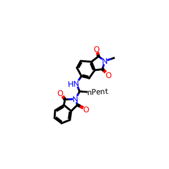 CCCCCC(Nc1ccc2c(c1)C(=O)N(C)C2=O)N1C(=O)c2ccccc2C1=O